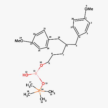 COc1ccc(CC(CCCOB(O)OP(C)(C)(C)C)Cc2ccc(OC)cc2)cc1